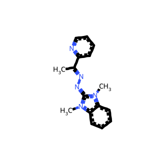 C/C(=N\N=c1n(C)c2ccccc2n1C)c1ccccn1